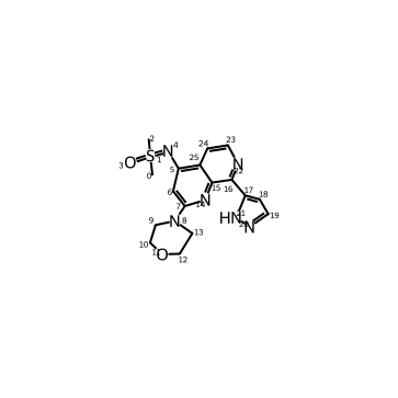 CS(C)(=O)=Nc1cc(N2CCOCC2)nc2c(-c3ccn[nH]3)nccc12